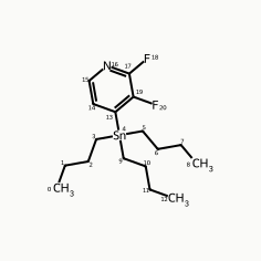 CCC[CH2][Sn]([CH2]CCC)([CH2]CCC)[c]1ccnc(F)c1F